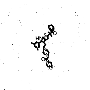 Cc1cc(C)cc(-c2[nH]c3sc(C(C)(C)C(=O)N4C5CCC4CC5)cc3c2CCN2CCN(CC(=O)N3CCN(C)CC3)CC2)c1